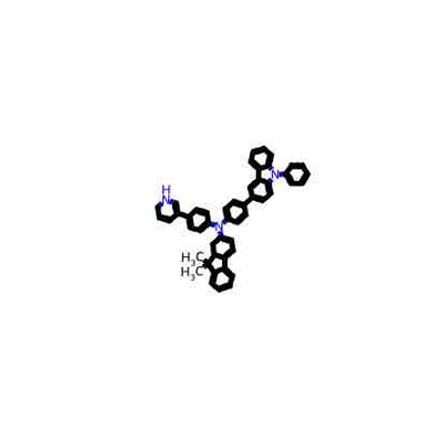 CC1(C)c2ccccc2C2=CC=C(N(c3ccc(C4=CNCC=C4)cc3)c3ccc(-c4ccc5c(c4)c4ccccc4n5-c4ccccc4)cc3)CC21